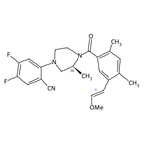 CO/C=C/c1cc(C(=O)N2CCN(c3cc(F)c(F)cc3C#N)C[C@@H]2C)c(C)cc1C